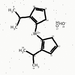 CC(C)C1=[C]([W+2][C]2=C(C(C)C)C=CC2)CC=C1.[OH-].[OH-]